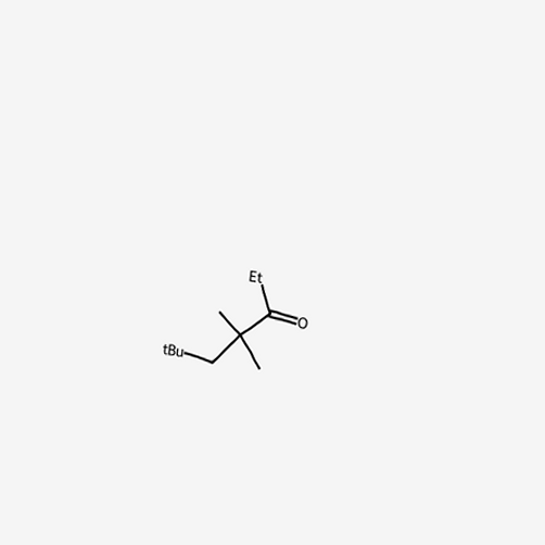 CCC(=O)C(C)(C)CC(C)(C)C